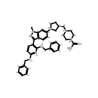 Cn1nc(-c2ccc(OCc3ccccc3)nc2OCc2ccccc2)c2ccc(N3CC[C@@H](CN4CCN(C(=O)O)CC4)C3)cc21